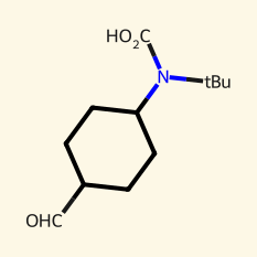 CC(C)(C)N(C(=O)O)C1CCC(C=O)CC1